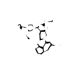 C=CC(=O)N1CCN(c2nc(OCC)nc3c2CCN(c2cc(O)cc4cccc(Cl)c24)C3)C[C@@H]1CC#N